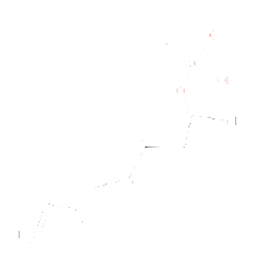 C=COCCCCC(C)O[Si](O)(O)O